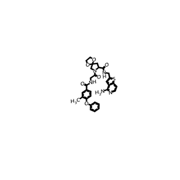 Cc1cc(C(=O)NCC(=O)N2CC3(CC2C(=O)NCc2cc4c(N)nccc4s2)OCCO3)ccc1Oc1ccccc1